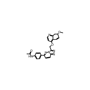 COC1C=Cc2c(OCc3nnc4ccc(-c5ccc(NC(C)=O)cc5)nn34)ccnc2C1